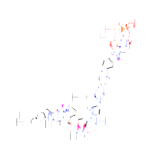 COc1ncc(-c2ccnc(N3CCn4c(cc5c4CC(C)(C)C5)C3=O)c2[C@H](C)O)cc1Nc1ccc(N2CCN(C3CCN(c4ccc5c(c4)C(=O)N(C4CCC(=O)N(C(C)OP(=O)(O)O)C4=O)C5=O)CC3)C[C@@H]2C)cn1